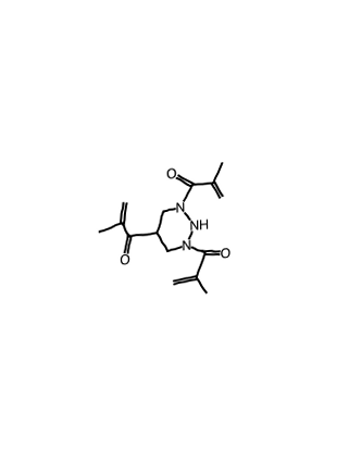 C=C(C)C(=O)C1CN(C(=O)C(=C)C)NN(C(=O)C(=C)C)C1